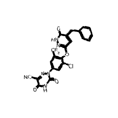 N#Cc1nn(-c2cc(Cl)c(Oc3cc(Cc4ccccc4)c(=O)[nH]n3)c(C(F)(F)F)c2)c(=O)[nH]c1=O